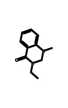 CCN1CN(C)c2ccccc2C1=O